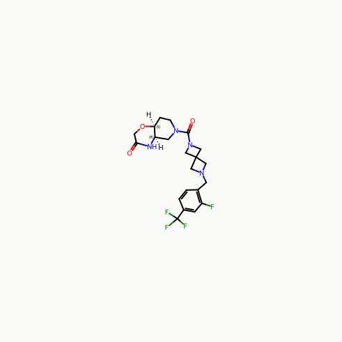 O=C1CO[C@H]2CCN(C(=O)N3CC4(CN(Cc5ccc(C(F)(F)F)cc5F)C4)C3)C[C@H]2N1